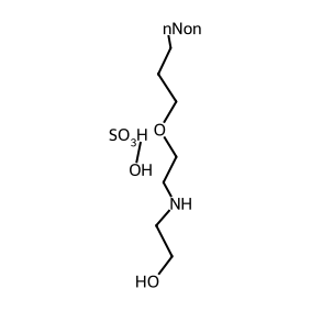 CCCCCCCCCCCCOCCNCCO.O=S(=O)(O)O